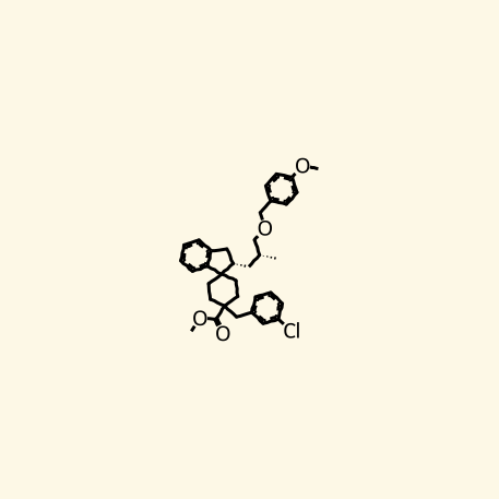 COC(=O)C1(Cc2cccc(Cl)c2)CCC2(CC1)c1ccccc1C[C@@H]2C[C@@H](C)COCc1ccc(OC)cc1